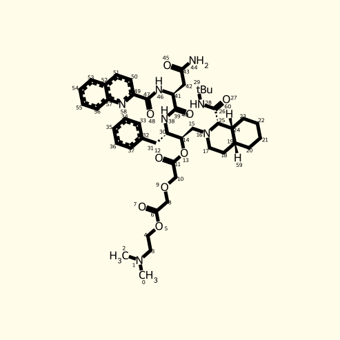 CN(C)CCOC(=O)COCC(=O)O[C@H](CN1CC[C@H]2CCCC[C@H]2[C@H]1C(=O)NC(C)(C)C)[C@H](Cc1ccccc1)NC(=O)[C@H](CC(N)=O)NC(=O)c1ccc2ccccc2n1